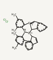 Cc1cc(C)c([SiH](c2c(C)cc(C)cc2C)[Zr+2]([CH]2C=Cc3ccccc32)[CH]2C=Cc3ccccc32)c(C)c1.[Cl-].[Cl-]